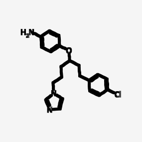 Nc1ccc(OC(CCCn2ccnc2)CCc2ccc(Cl)cc2)cc1